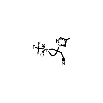 Cc1cnn(C2(CC#N)CCN(S(=O)(=O)C(F)(F)F)C2)c1